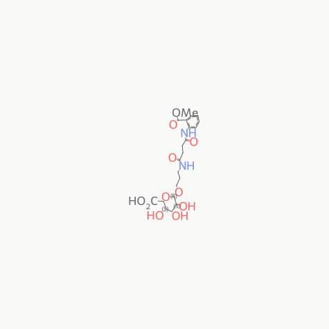 COC(=O)c1ccccc1NC(=O)CCC(=O)NCCCO[C@@H]1OC(C(=O)O)[C@@H](O)C(O)[C@@H]1O